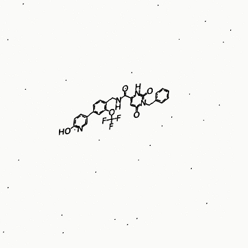 O=C(NCc1ccc(-c2ccc(O)nc2)cc1OC(F)(F)F)c1cc(=O)n(Cc2ccccc2)c(=O)[nH]1